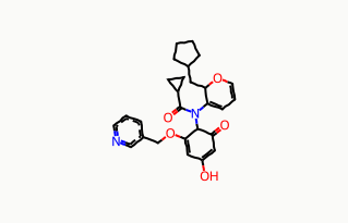 O=C1C=C(O)C=C(OCc2cccnc2)C1N(C(=O)C1CC1)C1=CC=COC1CC1CCCC1